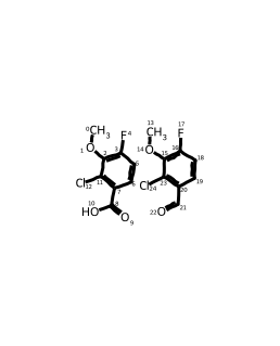 COc1c(F)ccc(C(=O)O)c1Cl.COc1c(F)ccc(C=O)c1Cl